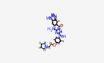 Nc1nc(Nc2ccc(OCCN3CCCC3)cc2)nn1C(=O)c1ccc2[nH]nnc2c1